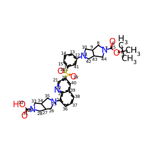 CC(C)(C)OC(=O)N1CC2CN(c3cccc(S(=O)(=O)c4cnc5c(N6CC7CN(C(=O)O)CC7C6)cccc5c4)c3)CC2C1